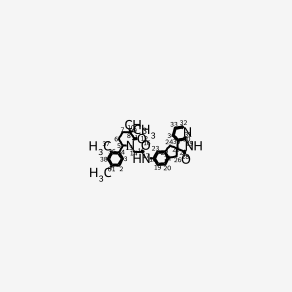 Cc1ccc(C2CCC(C)(C)C(=O)N2CC(=O)Nc2ccc3c(c2)CC2(C3)C(=O)Nc3ncccc32)c(C)c1